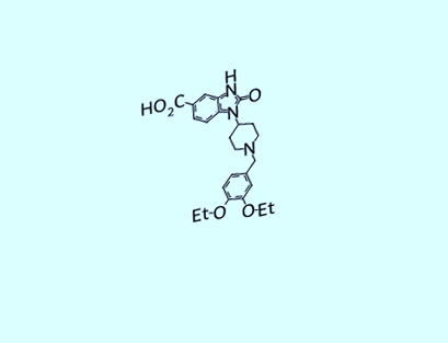 CCOc1ccc(CN2CCC(n3c(=O)[nH]c4cc(C(=O)O)ccc43)CC2)cc1OCC